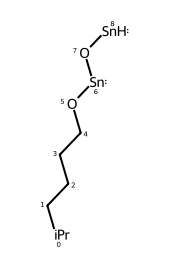 CC(C)CCCC[O][Sn][O][SnH]